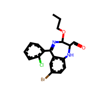 CCCOC1N=C(c2ccccc2Cl)c2cc(Br)ccc2NC1C=O